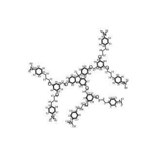 CN(C)c1ccc(CCCOc2cc(COc3ccc(C(C)(c4ccc(OCc5cc(OCCCc6ccc(N(C)C)cc6)cc(OCCCc6ccc(N(C)C)cc6)c5)cc4)c4ccc(OCc5cc(OCCCc6ccc(N(C)C)cc6)cc(OCCCc6ccc(N(C)C)cc6)c5)cc4)cc3)cc(OCCCc3ccc(N(C)C)cc3)c2)cc1